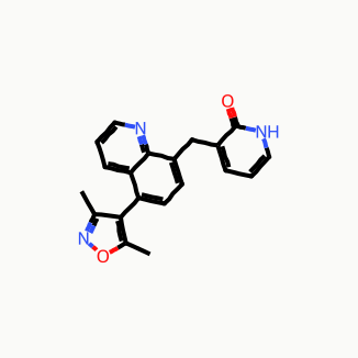 Cc1noc(C)c1-c1ccc(Cc2ccc[nH]c2=O)c2ncccc12